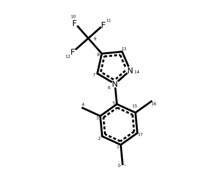 [CH2]c1cc(C)c(-n2cc(C(F)(F)F)cn2)c(C)c1